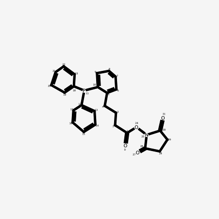 O=C(CCCc1ccccc1P(c1ccccc1)c1ccccc1)ON1C(=O)CCC1=O